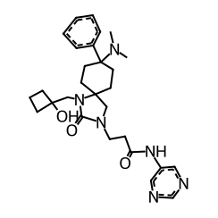 CN(C)C1(c2ccccc2)CCC2(CC1)CN(CCC(=O)Nc1cncnc1)C(=O)N2CC1(O)CCC1